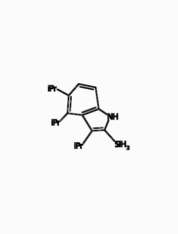 CC(C)c1ccc2[nH]c([SiH3])c(C(C)C)c2c1C(C)C